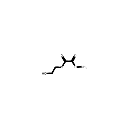 NOC(=O)C(=O)OCCO